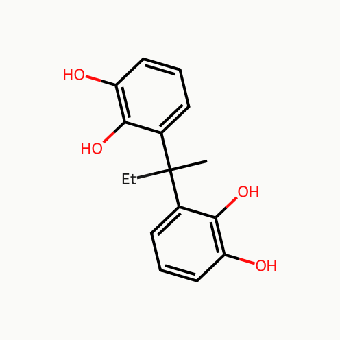 CCC(C)(c1cccc(O)c1O)c1cccc(O)c1O